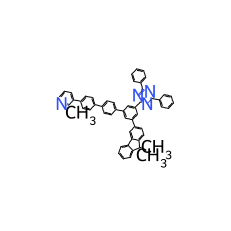 Cc1ncccc1-c1ccc(-c2ccc(-c3cc(-c4ccc5c(c4)-c4ccccc4C5(C)C)cc(-c4nc(-c5ccccc5)nc(-c5ccccc5)n4)c3)cc2)cc1